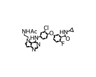 CC(=O)NCCn1ccc2ncnc(Nc3ccc(Oc4ccc(F)c(C(=O)NC5CC5)c4)c(Cl)c3)c21